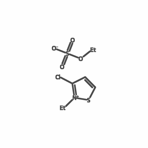 CCOS(=O)(=O)[O-].CC[n+]1sccc1Cl